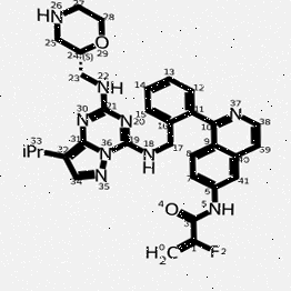 C=C(F)C(=O)Nc1ccc2c(-c3ccccc3CNc3nc(NC[C@@H]4CNCCO4)nc4c(C(C)C)cnn34)nccc2c1